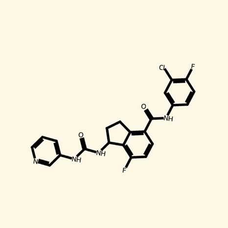 O=C(Nc1cccnc1)NC1CCc2c(C(=O)Nc3ccc(F)c(Cl)c3)ccc(F)c21